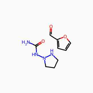 NC(=O)NN1CCCN1.O=Cc1ccco1